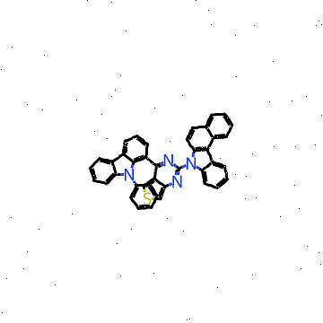 c1ccc(-n2c3ccccc3c3cccc(-c4nc(-n5c6ccccc6c6c7ccccc7ccc65)nc5cscc45)c32)cc1